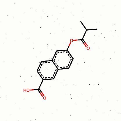 CC(C)C(=O)Oc1ccc2cc(C(=O)O)ccc2c1